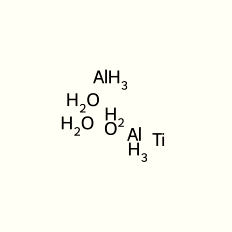 O.O.O.[AlH3].[AlH3].[Ti]